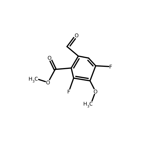 COC(=O)c1c(C=O)cc(F)c(OC)c1F